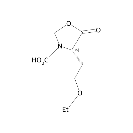 CCOCC[C@H]1C(=O)OCN1C(=O)O